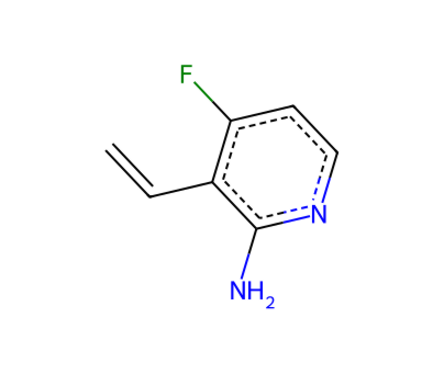 C=Cc1c(F)ccnc1N